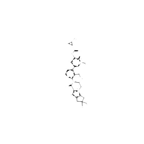 C[C@@H]1C[C@H]1C(=O)Nc1cc(-c2ccnc(N3CCn4c(cc5c4CC(C)(C)C5)C3=O)c2CO)cn(C)c1=O